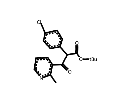 Cc1ncccc1C(=O)C(C(=O)OC(C)(C)C)c1ccc(Cl)cc1